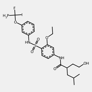 CCOc1cc(NC(=O)C(CCO)CC(C)C)ccc1S(=O)(=O)Nc1cccc(OC(F)(P)I)c1